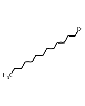 CCCCCCCCC/C=C/C=C/[O]